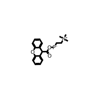 C[N+](C)(C)CC[P-]OC(=O)C1c2ccccc2Oc2ccccc21